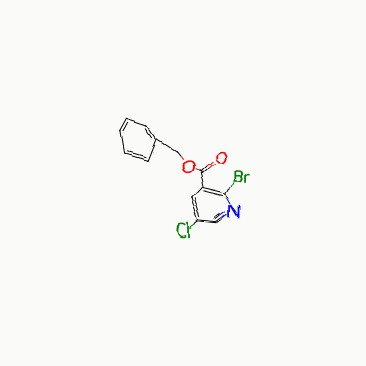 O=C(OCc1ccccc1)c1cc(Cl)cnc1Br